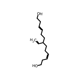 C=CC(CC/C=C\CCO)CC/C=C/CCO